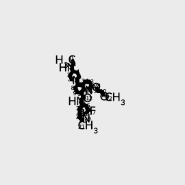 CCNC1CCN(c2ccc(C(=O)Nc3cc(F)c4nc(C)cn4c3)c3nc(OCCOC)ccc23)CC1